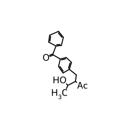 CC(=O)C(Cc1ccc(C(=O)c2ccccc2)cc1)C(C)O